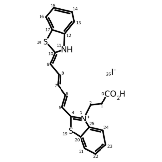 O=C(O)CC[n+]1c(C=CC=CC=C2Nc3ccccc3S2)sc2ccccc21.[I-]